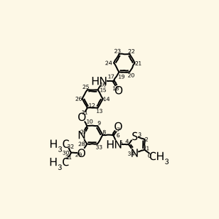 Cc1csc(NC(=O)c2cc(Oc3ccc(NC(=O)c4ccccc4)cc3)nc(OC(C)C)c2)n1